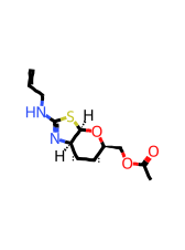 C=CCNC1=N[C@@H]2[C][C][C@H](COC(C)=O)O[C@@H]2S1